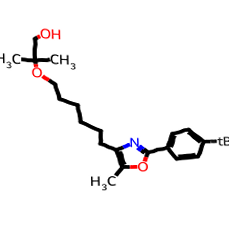 Cc1oc(-c2ccc(C(C)(C)C)cc2)nc1CCCCCCOC(C)(C)CO